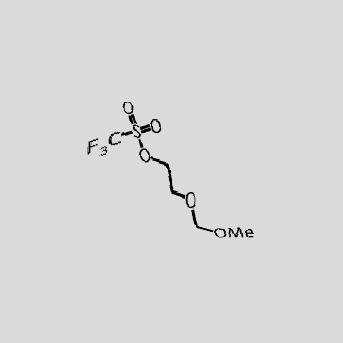 COCOCCOS(=O)(=O)C(F)(F)F